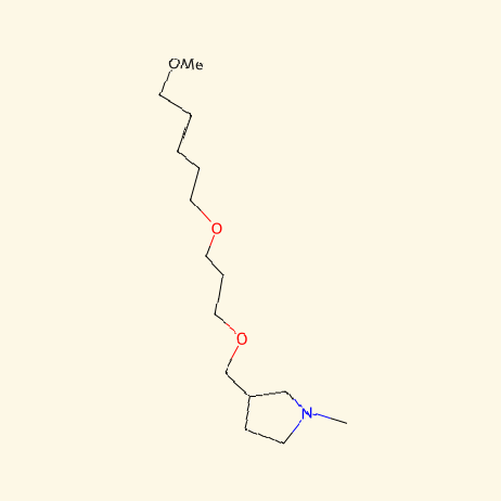 COCCCCCOCCCOCC1CCN(C)C1